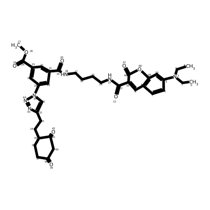 CCN(CC)c1ccc2cc(C(=O)NCCCCNC(=O)c3cc(C(=O)OC)cc(-n4cc(CCC5CCC(=O)CC5=O)nn4)c3)c(=O)oc2c1